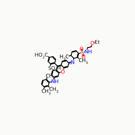 CCOCCNS(=O)(=O)C1=C(C)C(/N=c2\ccc3c(-c4ccc(C(=O)O)cc4S(=O)(=O)O)c4ccc(Nc5c(C)ccc(C)c5C)cc4oc-3c2)C(C)C=C1